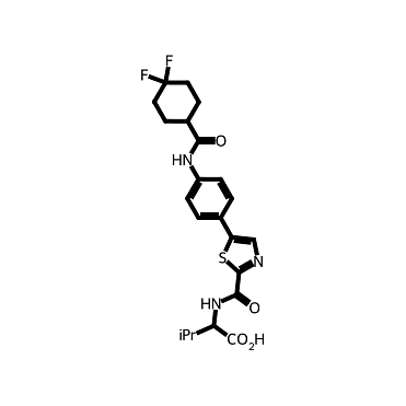 CC(C)C(NC(=O)c1ncc(-c2ccc(NC(=O)C3CCC(F)(F)CC3)cc2)s1)C(=O)O